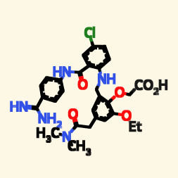 CCOc1cc(CC(=O)N(C)C)cc(CNc2ccc(Cl)cc2C(=O)Nc2ccc(C(=N)N)cc2)c1OCC(=O)O